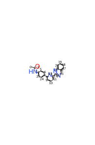 CC(=O)Nc1ccc(-c2cccc(-c3ncc4ccccc4n3)n2)cc1